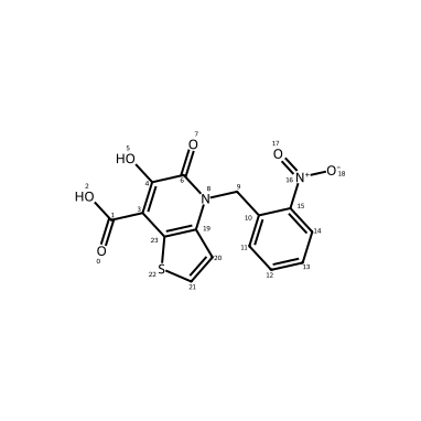 O=C(O)c1c(O)c(=O)n(Cc2ccccc2[N+](=O)[O-])c2ccsc12